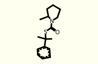 CC1CCCCN1C(=O)SC(C)(C)c1ccccc1